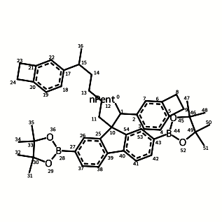 CCCCCC(c1ccc2c(c1)CC2)C1(CCCCC(C)c2ccc3c(c2)CC3)c2cc(B3OC(C)(C)C(C)(C)O3)ccc2-c2ccc(B3OC(C)(C)C(C)(C)O3)cc21